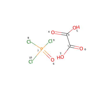 O=C(O)C(=O)O.O=P(Cl)(Cl)Cl